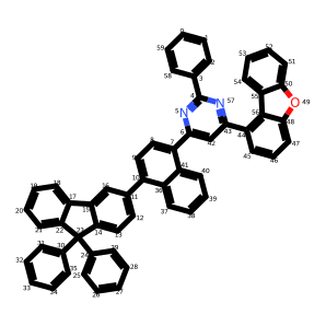 c1ccc(-c2nc(-c3ccc(-c4ccc5c(c4)-c4ccccc4C5(c4ccccc4)c4ccccc4)c4ccccc34)cc(-c3cccc4oc5ccccc5c34)n2)cc1